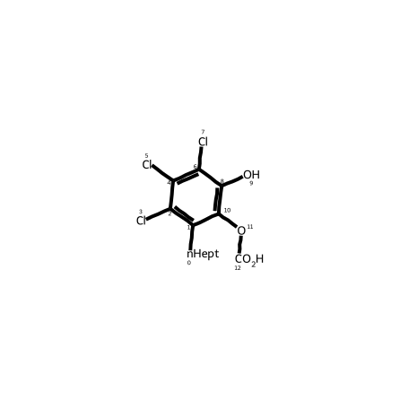 CCCCCCCc1c(Cl)c(Cl)c(Cl)c(O)c1OC(=O)O